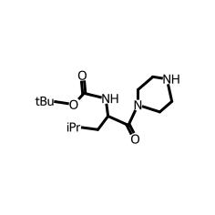 CC(C)CC(NC(=O)OC(C)(C)C)C(=O)N1CCNCC1